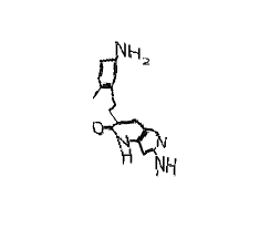 CNc1cc2[nH]c(=O)c(CCc3cc(N)ccc3C)cc2cn1